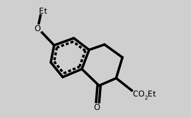 CCOC(=O)C1CCc2cc(OCC)ccc2C1=O